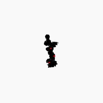 CCC1O[C@@H](OC(=O)[C@]23CCC(C)(C)CC2C2=CCC4C5(C)CC[C@H](O[C@@H]6OC(C(C)=O)[C@@H](C)[C@H](O[C@@H]7OC[C@@H](C)[C@H](C)C7C)C6O[C@@H]6OC(CC)[C@H](C)[C@H](C)C6C)[C@](C)(C=O)[C@@H]5CC[C@]4(C)[C@]2(C)CC3OC)C(O[C@@H]2OC(C)[C@H](OCc3ccccc3)C3OC(C)(C)OC32)C(C)[C@H]1N=[N+]=[N-]